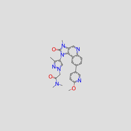 COc1ccc(-c2ccc3ncc4c(c3c2)n(-c2cn(CC(=O)N(C)C)nc2C)c(=O)n4C)cn1